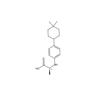 C[C@H](Nc1ccc(C2CCC(C)(C)CC2)cc1)C(=O)O